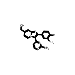 Cc1cc(-c2nc3cc(CO)ccn3c2-c2ccnc(N)n2)ccc1F